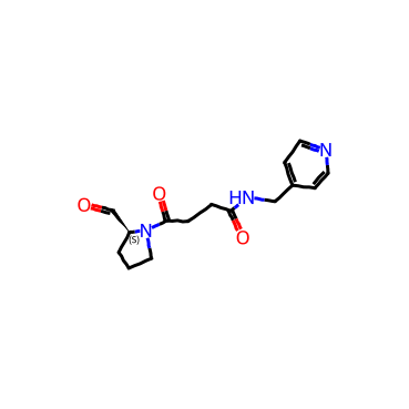 O=C[C@@H]1CCCN1C(=O)CCC(=O)NCc1ccncc1